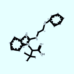 CC(C)(C)C(C(=O)O)n1c(SCCOc2ccccc2)nc2ccccc21